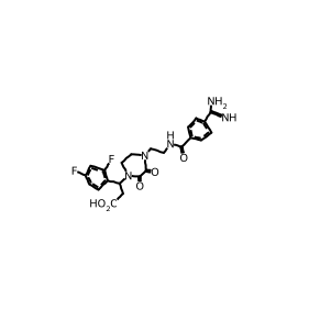 N=C(N)c1ccc(C(=O)NCCN2CCN(C(CC(=O)O)c3ccc(F)cc3F)C(=O)C2=O)cc1